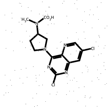 CN(C(=O)O)C1CCN(c2nc(Cl)nc3cc(Cl)cnc23)C1